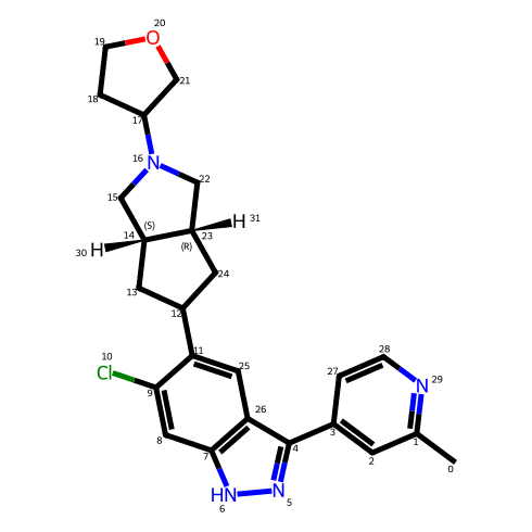 Cc1cc(-c2n[nH]c3cc(Cl)c(C4C[C@@H]5CN(C6CCOC6)C[C@@H]5C4)cc23)ccn1